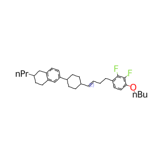 CCCCOc1ccc(CC/C=C/C2CCC(c3ccc4c(c3)CCC(CCC)C4)CC2)c(F)c1F